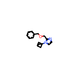 c1ccc(COCc2nccn2C23CC(C2)C3)cc1